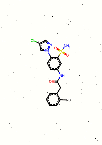 NS(=O)(=O)c1cc(NC(=O)Cc2ccccc2N=O)ccc1-n1cc(Cl)cn1